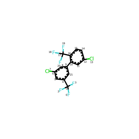 FC(F)(F)c1cc(Cl)cc(-c2cc(Cl)c[c]c2C(F)(F)F)c1